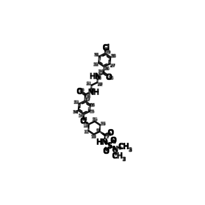 CN(C)S(=O)(=O)NC(=O)[C@H]1CC[C@@H](Oc2ccc(C(=O)NCCNC(=O)c3ccc(Cl)cc3)cc2)CC1